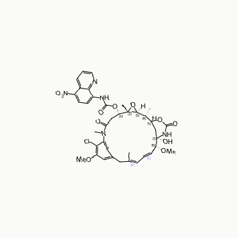 COc1cc2cc(c1Cl)N(C)C(=O)C[C@H](OC(=O)Nc1ccc([N+](=O)[O-])c3cccnc13)[C@]1(C)O[C@H]1[C@H](C)[C@@H]1C[C@@](O)(NC(=O)O1)[C@H](OC)/C=C/C=C(\C)C2